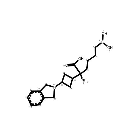 NC(CCCCB(O)O)(C(=O)O)C1CC(N2Cc3ccccc3C2)C1